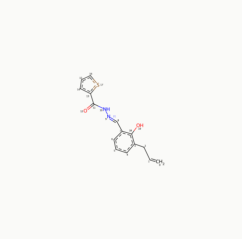 C=CCc1cccc(/C=N/NC(=O)c2cccs2)c1O